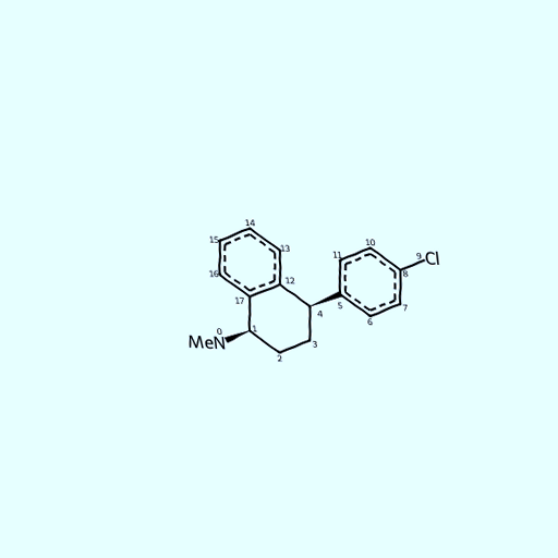 CN[C@@H]1CC[C@H](c2ccc(Cl)cc2)c2ccccc21